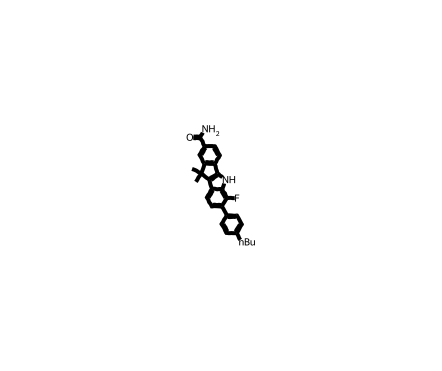 CCCCc1ccc(-c2ccc3c4c([nH]c3c2F)-c2ccc(C(N)=O)cc2C4(C)C)cc1